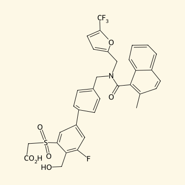 Cc1ccc2ccccc2c1C(=O)N(Cc1ccc(-c2cc(F)c(CO)c(S(=O)(=O)CC(=O)O)c2)cc1)Cc1ccc(C(F)(F)F)o1